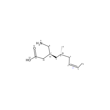 C/C=C\C[C@@H](C)C[C@H](CN)CC(=O)O